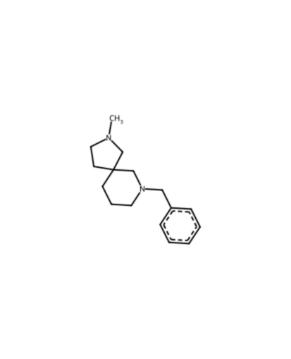 CN1CCC2(CCCN(Cc3ccccc3)C2)C1